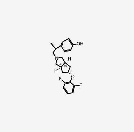 CC(CN1C[C@H]2C[C@H](Oc3c(F)cccc3F)C[C@H]2C1)c1ccc(O)cc1